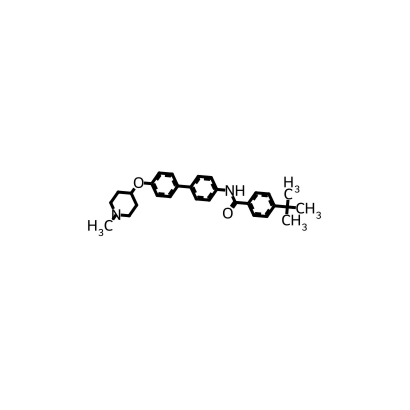 CN1CCC(Oc2ccc(-c3ccc(NC(=O)c4ccc(C(C)(C)C)cc4)cc3)cc2)CC1